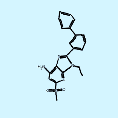 CCn1c(-c2cccc(-c3ccccc3)c2)nc2c(N)nc(S(C)(=O)=O)nc21